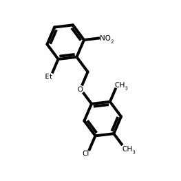 CCc1cccc([N+](=O)[O-])c1COc1cc(Cl)c(C)cc1C